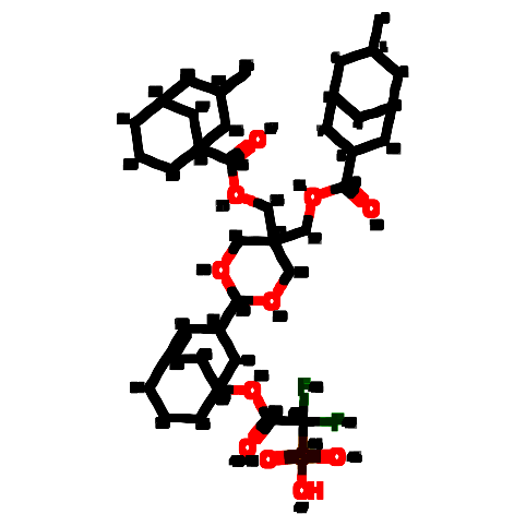 CC1CC2CC(C1)CC(C(=O)OCC1(COC(=O)C34CCCC(CC(C)C3)C4)COC(C3C=C4CCCC(OC(=O)C(F)(F)S(=O)(=O)O)(C4)C3)OC1)C2